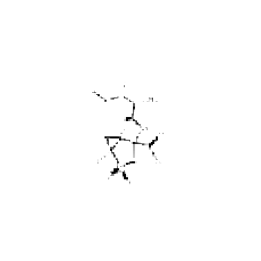 CC[C@H](C)[C@H](N)C(=O)N[C@@]1(C(=O)O)CS(=O)(=O)[C@H]2C[C@H]21